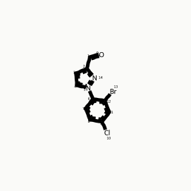 O=Cc1ccn(-c2ccc(Cl)cc2Br)n1